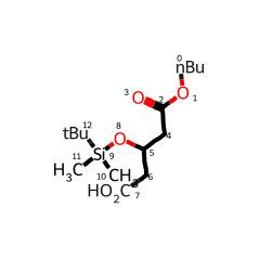 CCCCOC(=O)CC(CC(=O)O)O[Si](C)(C)C(C)(C)C